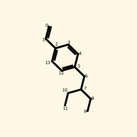 C=Cc1ccc(CC(CC)CC)cc1